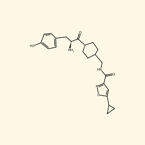 N[C@@H](Cc1ccc(O)cc1)C(=O)N1CCC(CNC(=O)c2cc(C3CC3)on2)CC1